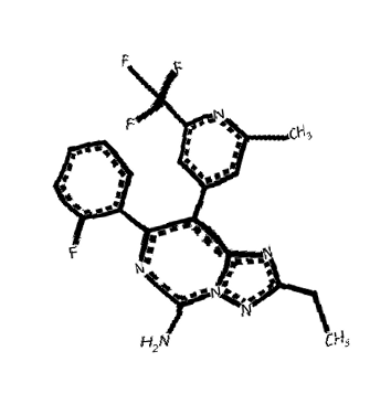 CCc1nc2c(-c3cc(C)nc(C(F)(F)F)c3)c(-c3ccccc3F)nc(N)n2n1